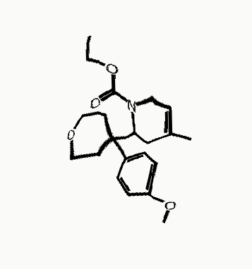 CCOC(=O)N1CC=C(C)CC1C1(c2ccc(OC)cc2)CCOCC1